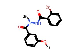 CCOc1cccc(C(=O)N(NC(=O)c2ccccc2Br)C(C)(C)C)c1